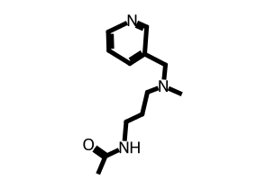 CC(=O)NCCCN(C)Cc1cccnc1